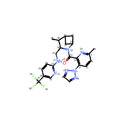 Cc1ccc(-n2nccn2)c(C(=O)N2C3CC(C3)C(C)C2CNc2ccc(C(F)(F)F)cn2)n1